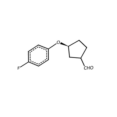 O=CC1CC[C@H](Oc2ccc(F)cc2)C1